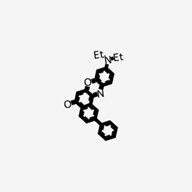 CCN(CC)c1ccc2nc3c4cc(-c5ccccc5)ccc4c(=O)cc-3oc2c1